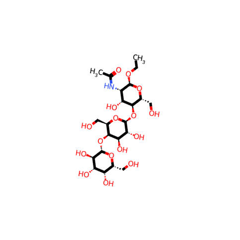 CCO[C@H]1O[C@H](CO)[C@@H](O[C@@H]2O[C@H](CO)[C@H](O[C@@H]3O[C@H](CO)[C@H](O)[C@H](O)[C@H]3O)[C@H](O)[C@H]2O)[C@H](O)[C@@H]1NC(C)=O